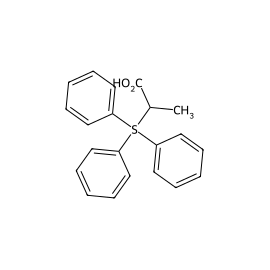 CC(C(=O)O)S(c1ccccc1)(c1ccccc1)c1ccccc1